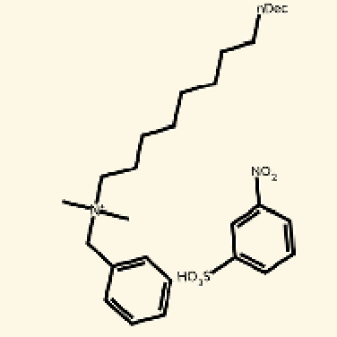 CCCCCCCCCCCCCCCCCC[N+](C)(C)Cc1ccccc1.O=[N+]([O-])c1cccc(S(=O)(=O)O)c1